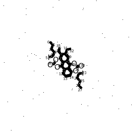 CCCCC(I)OC(=O)Oc1c2ccccc2c(OC(=O)OC(I)CCCC)c2cc(CC)c(CC)cc12